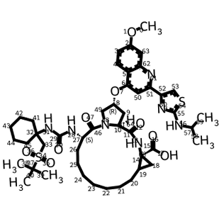 COc1ccc2c(O[C@@H]3C[C@H]4C(=O)N[C@]5(C(=O)O)CC5CCCCCCC[C@H](NC(=O)NC5(CS(=O)(=O)C(C)(C)C)CCCCC5)C(=O)N4C3)cc(-c3csc(NC(C)C)n3)nc2c1